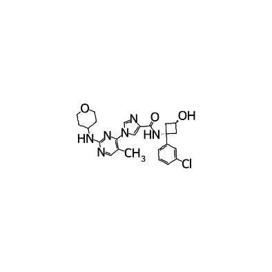 Cc1cnc(NC2CCOCC2)nc1-n1cnc(C(=O)N[C@]2(c3cccc(Cl)c3)C[C@@H](O)C2)c1